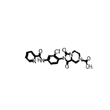 O=C(Nc1ccc(N2C(=O)C3CN(C(=O)O)CCN3C2=O)c(Cl)c1)c1ccccn1